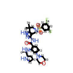 C[C@@H](Nc1cc(N2CCOCC2)ccc1C(=O)Nc1n[nH]c2c1CN(S(=O)(=O)c1cc(F)cc(F)c1)CC2(C)C)C1CCCN1